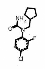 NC(=O)N(CC1CCCC1)c1ccc(Cl)cc1F